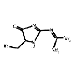 CC(C)CC1NC(N=C(N)N)=NC1=O